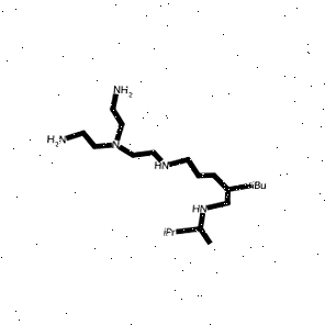 CCC(C)C(CCCNCCN(CCN)CCN)CNC(C)C(C)C